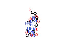 CN[C@@H](C)C(=O)N[C@H]1CN(C(=O)c2ccc(C(=O)N[C@H]3C[C@@H](C(=O)NC(C)C)N(C(=O)[C@@H](NC(=O)[C@H](C)NC)C4CCCCC4)C3)cc2)c2ccccc2N(Cc2c(OC)ccc3cc(Br)ccc23)C1=O